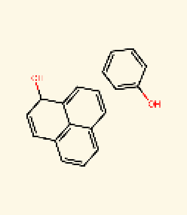 OC1C=Cc2cccc3cccc1c23.Oc1ccccc1